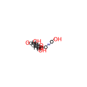 C[C@]12C=CC(=O)C=C1CC[C@@H]1[C@@H]2[C@@H](O)C[C@@]2(C)[C@H]1C[C@H]1O[C@@H](c3cccc(/C=C/c4ccc(CO)cc4)c3)O[C@]12C(=O)CO